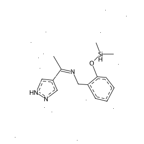 CC(=NCc1ccccc1O[SiH](C)C)c1cn[nH]c1